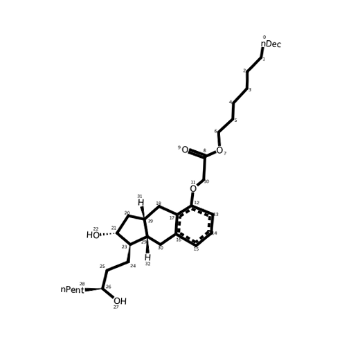 CCCCCCCCCCCCCCCCOC(=O)COc1cccc2c1C[C@H]1C[C@@H](O)[C@H](CC[C@@H](O)CCCCC)[C@H]1C2